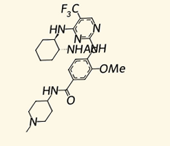 COc1cc(C(=O)NC2CCN(C)CC2)ccc1Nc1ncc(C(F)(F)F)c(N[C@@H]2CCCC[C@H]2NC(C)=O)n1